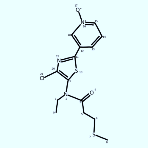 CCN(C(=O)CCSC)c1sc(-c2ccc[n+]([O-])c2)nc1Cl